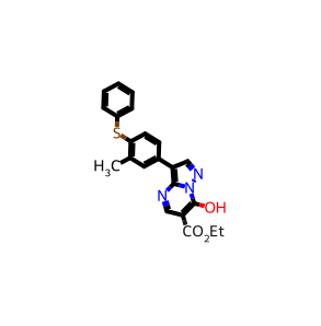 CCOC(=O)c1cnc2c(-c3ccc(Sc4ccccc4)c(C)c3)cnn2c1O